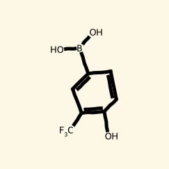 OB(O)c1ccc(O)c(C(F)(F)F)c1